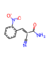 N#C/C(=C\c1ccccc1[N+](=O)[O-])C(N)=O